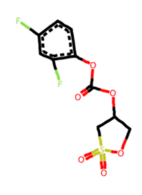 O=C(Oc1ccc(F)cc1F)OC1COS(=O)(=O)C1